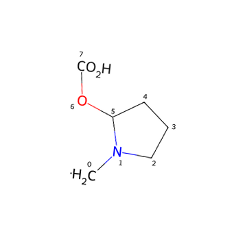 [CH2]N1CCCC1OC(=O)O